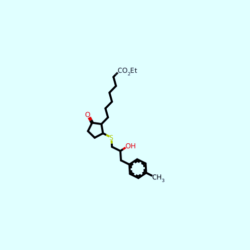 CCOC(=O)CCCCCCC1C(=O)CCC1SCC(O)Cc1ccc(C)cc1